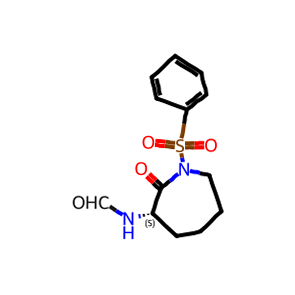 O=CN[C@H]1CCCCN(S(=O)(=O)c2ccccc2)C1=O